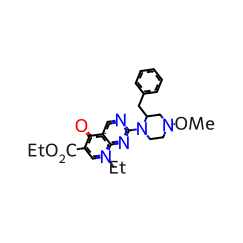 CCOC(=O)c1cn(CC)c2nc(N3CCN(OC)CC3Cc3ccccc3)ncc2c1=O